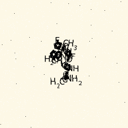 C=C=C(N)OC[C@@H]1CO[C@H](COc2c(F)cccc2NC(=C=C)[C@@H](NC(=O)OC)[C@@H](c2ccc(F)cc2)c2cccc(C)c2)CN1